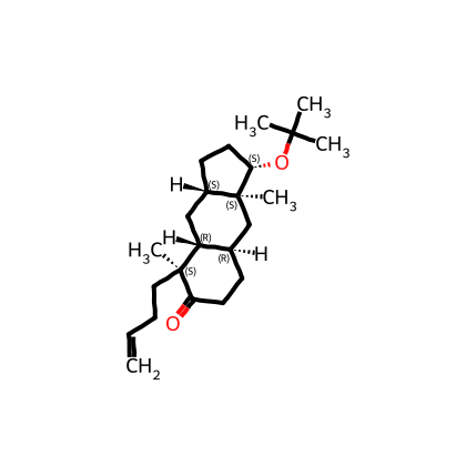 C=CCC[C@]1(C)C(=O)CC[C@@H]2C[C@@]3(C)[C@@H](CC[C@@H]3OC(C)(C)C)C[C@H]21